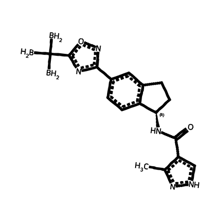 BC(B)(B)c1nc(-c2ccc3c(c2)CC[C@H]3NC(=O)c2c[nH]nc2C)no1